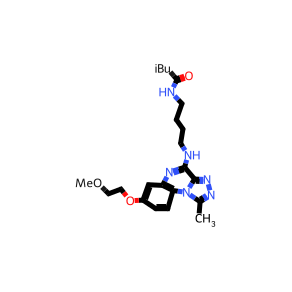 CCC(C)C(=O)NCCCCNc1nc2cc(OCCOC)ccc2n2c(C)nnc12